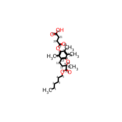 CCCCCCOC(=O)[C@@]1(C)CCc2c(C)c(OC(=O)CCC(=O)O)c(C)c(C)c2O1